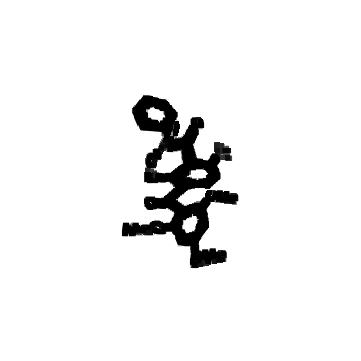 CCc1ccc(C(=O)c2c(OC)cc(OC)cc2OC)c(CC)c1C(=O)[PH](=O)c1ccccc1